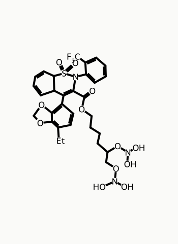 CCc1ccc(C2=C(C(=O)OCCCCC(CON(O)O)ON(O)O)N(c3ccccc3C(F)(F)F)S(=O)(=O)C3C=CC=CC23)c2c1OCO2